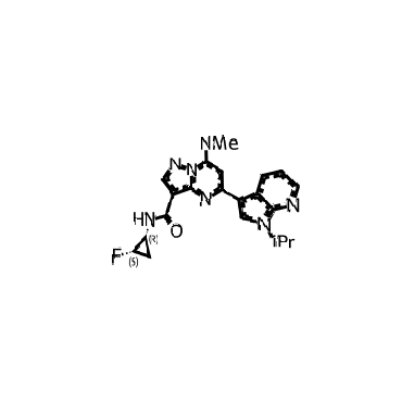 CNc1cc(-c2cn(C(C)C)c3ncccc23)nc2c(C(=O)N[C@@H]3C[C@@H]3F)cnn12